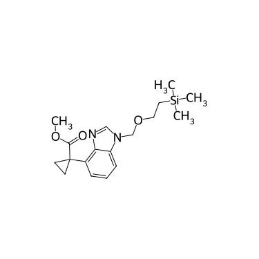 COC(=O)C1(c2cccc3c2ncn3COCC[Si](C)(C)C)CC1